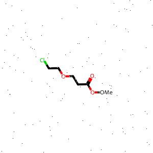 COOC(=O)CCOCCCl